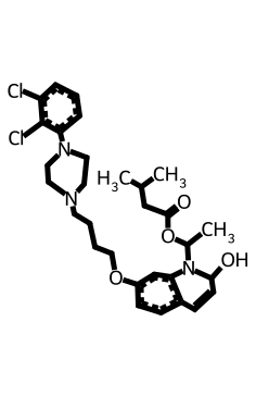 CC(C)CC(=O)OC(C)N1c2cc(OCCCCN3CCN(c4cccc(Cl)c4Cl)CC3)ccc2C=CC1O